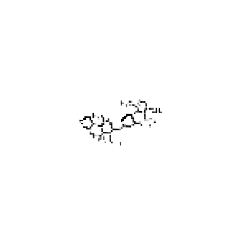 Cc1cc(Cc2c[n+](C)c(-c3ccccc3C)c(C)c2C)ccc1-c1c(C)c(C)cc[n+]1C